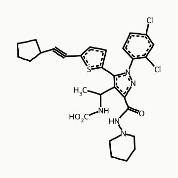 CC(NC(=O)O)c1c(C(=O)NN2CCCCC2)nn(-c2ccc(Cl)cc2Cl)c1-c1ccc(C#CC2CCCC2)s1